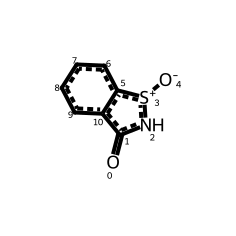 O=c1[nH][s+]([O-])c2ccccc12